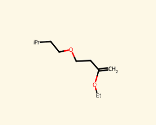 C=C(CCOCCC(C)C)OCC